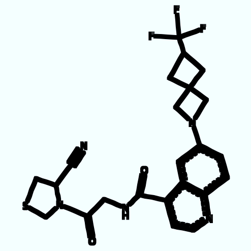 N#CC1CSCN1C(=O)CNC(=O)c1ccnc2ccc(N3CC4(CC(C(F)(F)F)C4)C3)cc12